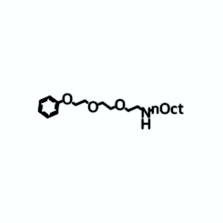 CCCCCCCCNCCOCCOCCOc1ccccc1